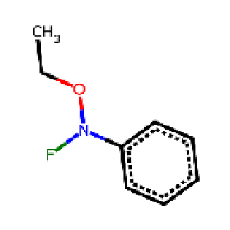 CCON(F)c1ccccc1